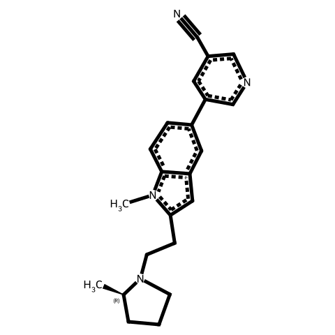 C[C@@H]1CCCN1CCc1cc2cc(-c3cncc(C#N)c3)ccc2n1C